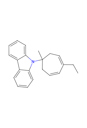 CCC1=CCC(C)(n2c3ccccc3c3ccccc32)CC=C1